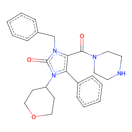 O=C(c1c(-c2ccccc2)n(C2CCOCC2)c(=O)n1Cc1ccccc1)N1CCNCC1